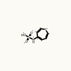 O=S(=O)(O)NC1=CC=CSC=C1